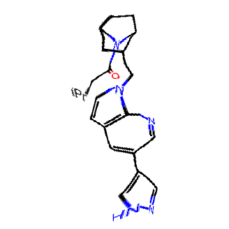 CC(C)CC(=O)N1C2CCC1C(Cn1ccc3cc(-c4cn[nH]c4)cnc31)C2